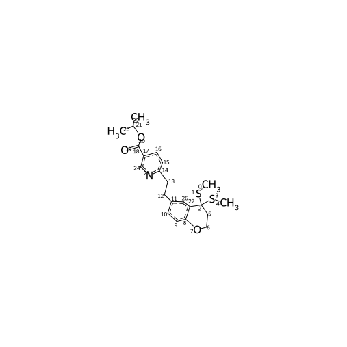 CSC1(SC)CCOc2ccc(CCc3ccc(C(=O)OC(C)C)cn3)cc21